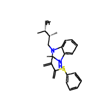 C=C(Sc1ccccc1)C(=C)C1(C)Nc2ccccc2N1C[C@@H](C)[C@H](C)C(C)C